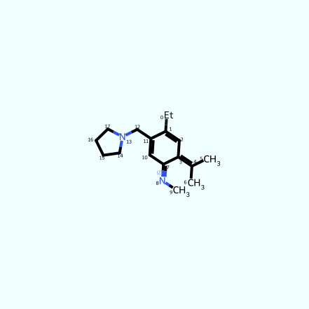 CCC1=CC(=C(C)C)/C(=N\C)C=C1CN1CCCC1